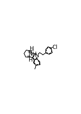 Cc1ccc2c(c1)c1c(n2CCc2ccc(Cl)cc2)C[C@H]2CCC[C@@H]1N2